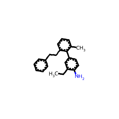 CCc1cc(-c2c(C)cccc2CCc2ccccc2)ccc1N